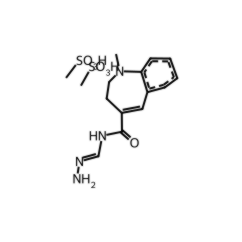 CN1CCC(C(=O)NC=NN)=Cc2ccccc21.CS(=O)(=O)O.CS(=O)(=O)O